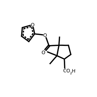 CC1(C(=O)Oc2ccco2)CCC(C(=O)O)C1(C)C